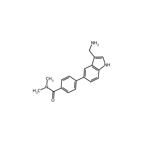 CN(C)C(=O)c1ccc(-c2ccc3[nH]cc(CN)c3c2)cc1